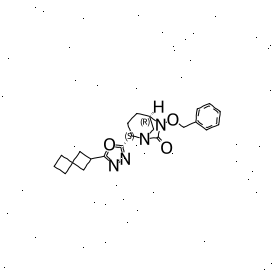 O=C1N2C[C@@H](CC[C@H]2c2nnc(C3CC4(CCC4)C3)o2)N1OCc1ccccc1